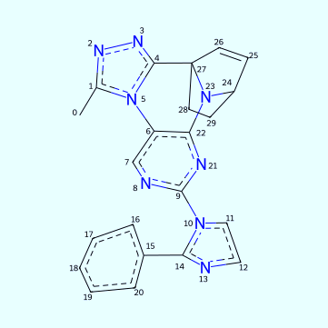 Cc1nnc2n1-c1cnc(-n3ccnc3-c3ccccc3)nc1N1C3C=CC21CC3